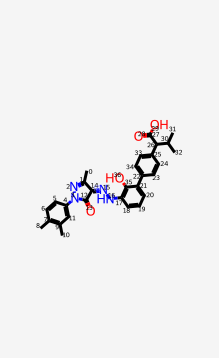 CC1=NN(c2ccc(C)c(C)c2)C(=O)/C1=N\Nc1cccc(-c2ccc(C(C(=O)O)C(C)C)cc2)c1O